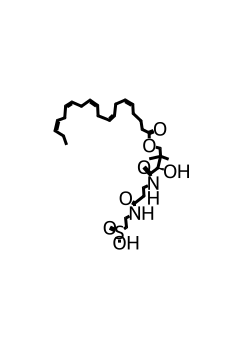 CC/C=C\C/C=C\C/C=C\C/C=C\C/C=C\CCCC(=O)OCC(C)(C)[C@@H](O)C(=O)NCCC(=O)NCCS(=O)O